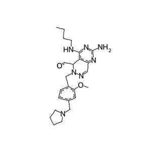 CCCCNc1nc(N)nc2c1C(C=O)N(Cc1ccc(CN3CCCC3)cc1OC)N=C2